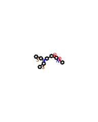 c1ccc(-c2nc3cc4c(cc3o2)oc2ccc(-c3ccc(N(c5ccc6c(c5)sc5ccccc56)c5ccc6sc7ccccc7c6c5)cc3)cc24)cc1